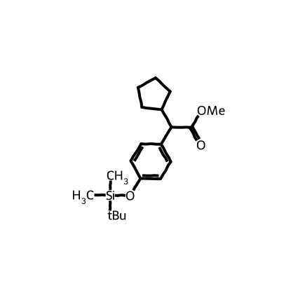 COC(=O)C(c1ccc(O[Si](C)(C)C(C)(C)C)cc1)C1CCCC1